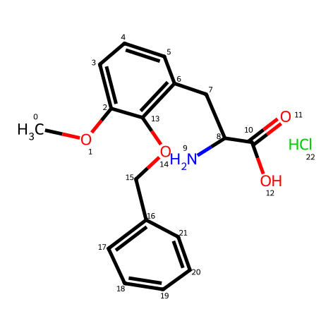 COc1cccc(CC(N)C(=O)O)c1OCc1ccccc1.Cl